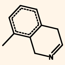 Cc1cccc2c1CN=CC2